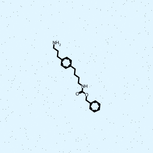 NCCCc1ccc(CCCCNC(=O)OCc2ccccc2)cc1